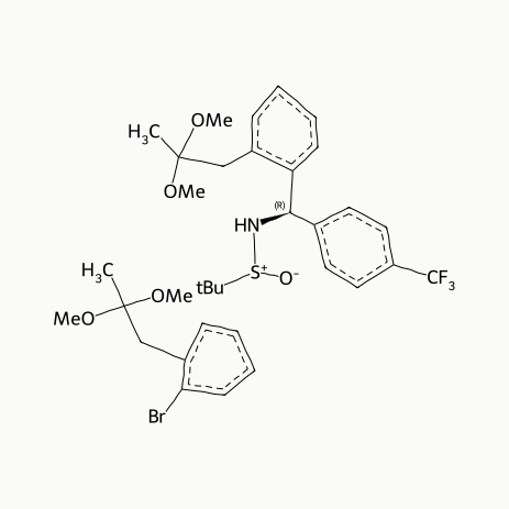 COC(C)(Cc1ccccc1Br)OC.COC(C)(Cc1ccccc1[C@H](N[S+]([O-])C(C)(C)C)c1ccc(C(F)(F)F)cc1)OC